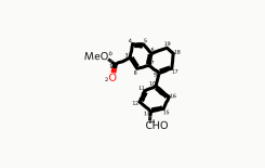 COC(=O)c1ccc2c(c1)C(c1ccc(C=O)cc1)=CCC2